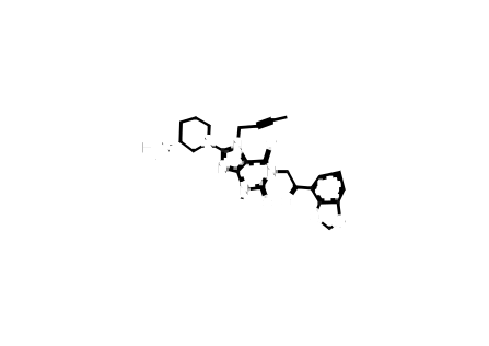 CC#CCn1c(N2CCC[C@@H](N)C2)nc2c1c(=O)n(CC(=O)c1cccc3c1OCO3)c(=O)n2C